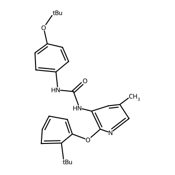 Cc1cnc(Oc2ccccc2C(C)(C)C)c(NC(=O)Nc2ccc(OC(C)(C)C)cc2)c1